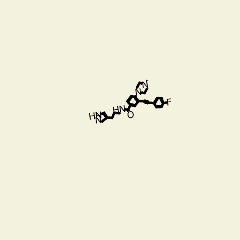 CN1CCN(c2ccc(C(=O)NCCCc3cn[nH]c3)cc2C#Cc2ccc(F)cc2)CC1